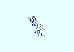 [2H]C([2H])([2H])C([2H])([2H])C([2H])([2H])S(=O)(=O)Nc1ccc(F)c(C(O)c2c[nH]c3ncc(Br)cc23)c1F